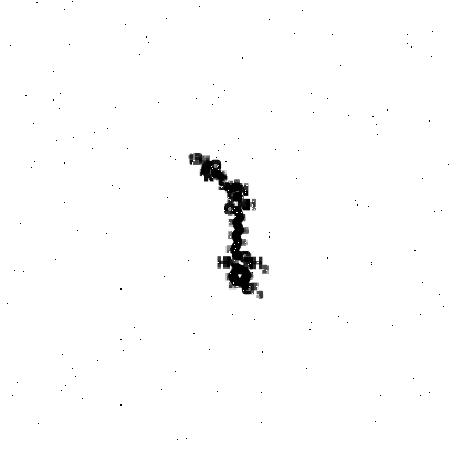 CC(C)(C)c1cnc(CSc2cnc(NC(=O)CCCCCCC(=O)Nc3ccc(C(F)(F)F)cc3N)s2)o1